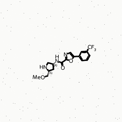 COC[C@@H]1C[C@@H](NC(=O)c2ncc(-c3cccc(C(F)(F)F)c3)o2)CN1